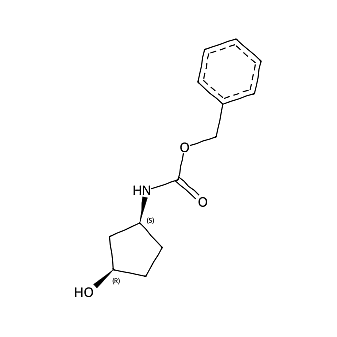 O=C(N[C@H]1CC[C@@H](O)C1)OCc1ccccc1